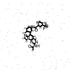 CC(=O)Nc1ncc2c(n1)N1CCN=C1C(c1cc(NC(=O)c3cc(C(F)(F)F)ccn3)ccc1C)=C2